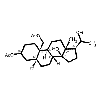 CC(=O)OC[C@]12CC[C@H](OC(C)=O)C[C@@H]1CC[C@@H]1[C@@H]2CC[C@]2(C)[C@@H](C(C)O)CC[C@]12O